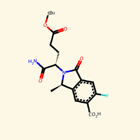 C[C@@H]1c2cc(C(=O)O)c(F)cc2C(=O)N1[C@@H](CCC(=O)OC(C)(C)C)C(N)=O